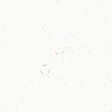 O=C([CH][C@@H]1CCCNC1)OCc1ccccc1